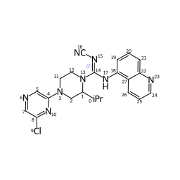 CC(C)C1CN(c2cncc(Cl)n2)CCN1/C(=N\C#N)Nc1cccc2ncccc12